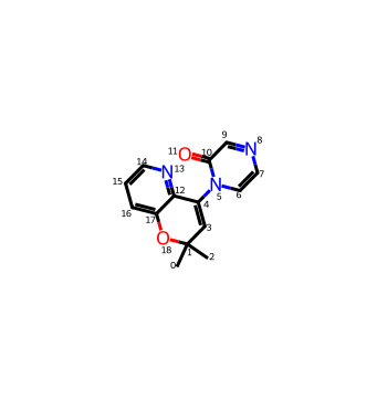 CC1(C)C=C(n2ccncc2=O)c2ncccc2O1